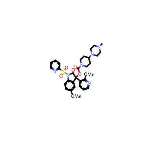 COc1ccc2c(c1)C(OC(=O)N1CCC(N3CCN(C)CC3)CC1)(c1cccnc1OC)C(=O)N2S(=O)(=O)c1ccccn1